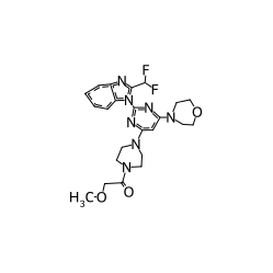 COCC(=O)N1CCN(c2cc(N3CCOCC3)nc(-n3c(C(F)F)nc4ccccc43)n2)CC1